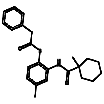 Cc1ccc(SC(=O)Cc2ccccc2)c(NC(=O)C2(C)CCCCC2)c1